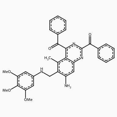 COc1cc(NCc2c(N)cc3nc(C(=O)c4ccccc4)nc(C(=O)c4ccccc4)c3c2C)cc(OC)c1OC